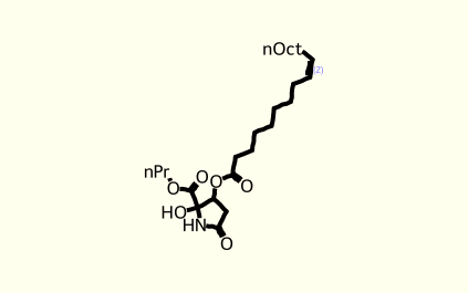 CCCCCCCC/C=C\CCCCCCCC(=O)OC1CC(=O)NC1(O)C(=O)OCCC